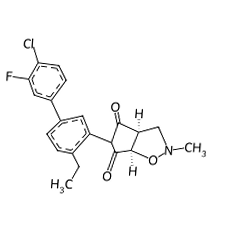 CCc1ccc(-c2ccc(Cl)c(F)c2)cc1C1C(=O)[C@H]2CN(C)O[C@H]2C1=O